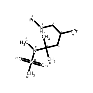 CCCC(CNC(C)C)CC(C)(C)N(C)S(C)(=O)=O